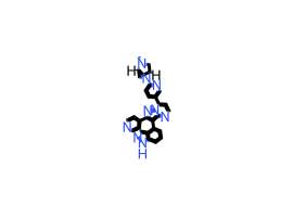 CN1C[C@@H]2C[C@H]1CN2c1ccc(-c2ccnc3c(-c4cccc5[nH]ncc45)c(-c4ccncc4)nn23)cn1